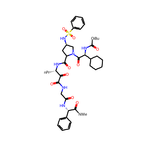 CCC[C@H](NC(=O)C1C[C@@H](NS(=O)(=O)c2ccccc2)CN1C(=O)[C@@H](NC(=O)OCC(C)C)C1CCCCC1)C(=O)C(=O)NCC(=O)N[C@H](C(=O)NC)c1ccccc1